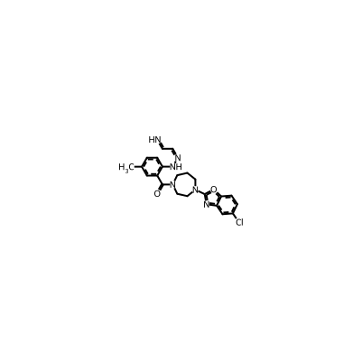 Cc1ccc(N/N=C\C=N)c(C(=O)N2CCCN(c3nc4cc(Cl)ccc4o3)CC2)c1